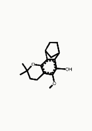 COc1c(O)c2c(c3c1CCC(C)(C)O3)C1CCC2C1